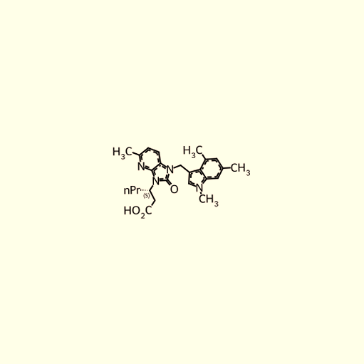 CCC[C@@H](CC(=O)O)n1c(=O)n(Cc2cn(C)c3cc(C)cc(C)c23)c2ccc(C)nc21